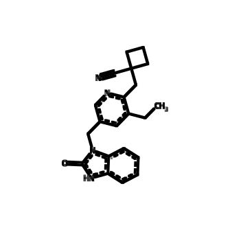 CCc1cc(Cn2c(=O)[nH]c3ccccc32)cnc1CC1(C#N)CCC1